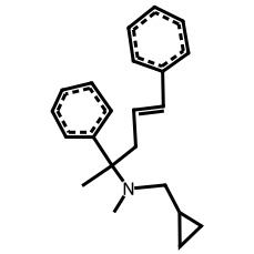 CN(CC1CC1)C(C)(CC=Cc1ccccc1)c1ccccc1